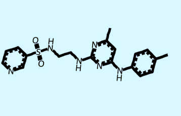 Cc1ccc(Nc2cc(C)nc(NCCNS(=O)(=O)c3cccnc3)n2)cc1